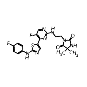 CC1(C)NC(=O)N(CCNc2ncc(F)c(-c3cnc(Nc4ccc(F)cc4)s3)n2)C1=O